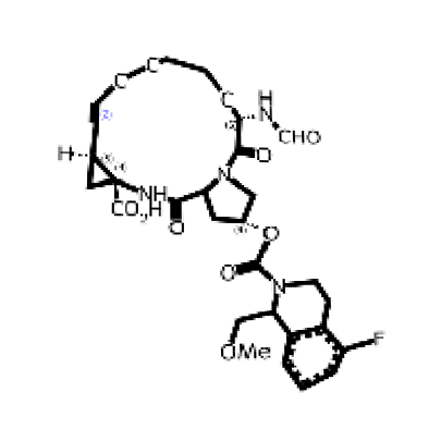 COCC1c2cccc(F)c2CCN1C(=O)O[C@@H]1CC2C(=O)N[C@]3(C(=O)O)C[C@H]3/C=C\CCCCC[C@H](NC=O)C(=O)N2C1